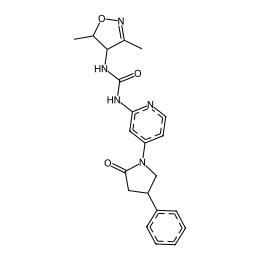 CC1=NOC(C)C1NC(=O)Nc1cc(N2CC(c3ccccc3)CC2=O)ccn1